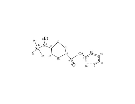 CCN(C1CCC(C(=O)Oc2ccccc2)CC1)[Si](C)(C)C